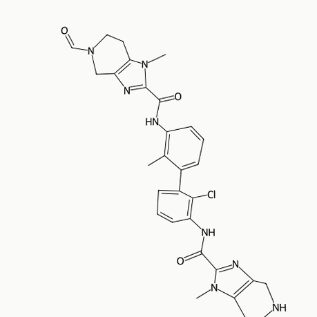 Cc1c(NC(=O)c2nc3c(n2C)CCN(C=O)C3)cccc1-c1cccc(NC(=O)c2nc3c(n2C)CCNC3)c1Cl